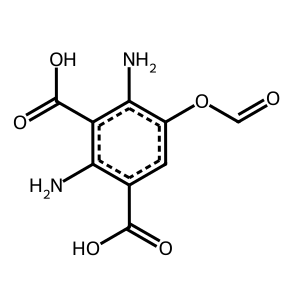 Nc1c(OC=O)cc(C(=O)O)c(N)c1C(=O)O